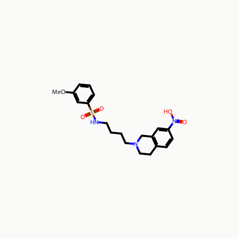 COc1cccc(S(=O)(=O)NCCCCN2CCc3ccc([N+](=O)O)cc3C2)c1